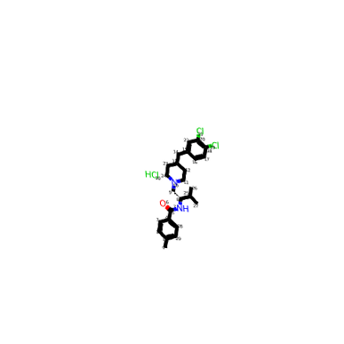 Cc1ccc(C(=O)N[C@H](CN2CCC(Cc3ccc(Cl)c(Cl)c3)CC2)C(C)C)cc1.Cl